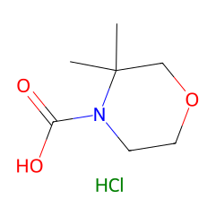 CC1(C)COCCN1C(=O)O.Cl